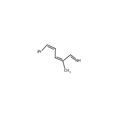 C/C(C=N)=C/C=C\C(C)C